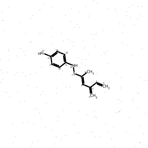 C=CC(=C)/C=C(\C)SNc1ccc(CCC)cc1